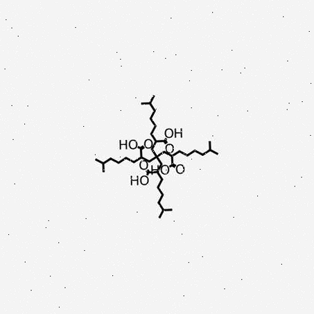 CC(C)CCCCC(CC(CC(CCCCC(C)C)C(=O)O)(CC(CCCCC(C)C)C(=O)O)CC(CCCCC(C)C)C(=O)O)C(=O)O